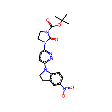 CC(C)(C)OC(=O)N1CCN(c2ccc(N3CCc4cc([N+](=O)[O-])ccc43)nn2)C1=O